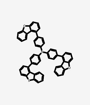 c1ccc2c(c1)oc1cccc(-c3ccc(N(c4ccc(-c5cccc6oc7ccccc7c56)cc4)c4ccc(-c5cccc6sc7ccccc7c56)cc4)cc3)c12